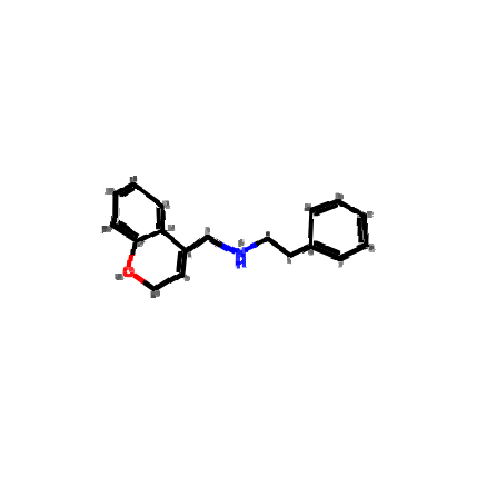 C1=C(CNCCc2ccccc2)c2ccccc2OC1